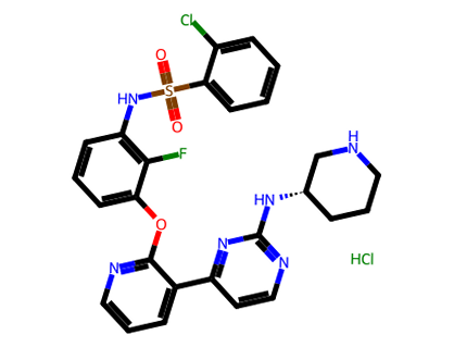 Cl.O=S(=O)(Nc1cccc(Oc2ncccc2-c2ccnc(N[C@H]3CCCNC3)n2)c1F)c1ccccc1Cl